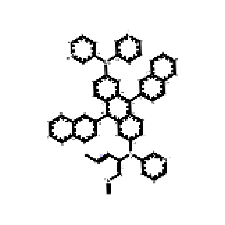 C=N/C=C(\C=C\C)N(c1cccnc1)c1ccc2c(-c3ccc4ccccc4c3)c3cc(N(c4cccnc4)c4cccnc4)ccc3c(-c3ccc4ccccc4c3)c2c1